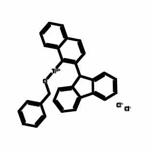 [Cl-].[Cl-].c1ccc(C[O][Ti+2][c]2c(C3c4ccccc4-c4ccccc43)ccc3ccccc23)cc1